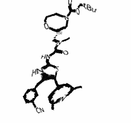 Cc1cc(C2=C(c3cccc(C#N)c3)NC(NC(=O)N(C)C[C@H]3CN(C(=O)OC(C)(C)C)CCO3)S2)cc(C)n1